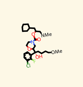 CNCC(CC1CCCCC1)OC(=O)N1CCOC([C@@](O)(CCCCOC)c2cccc(Cl)c2F)C1